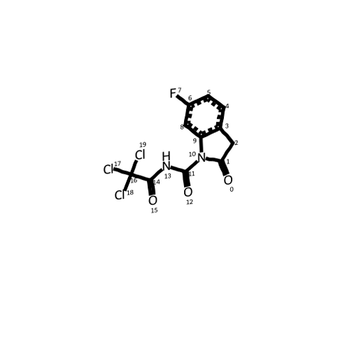 O=C1Cc2ccc(F)cc2N1C(=O)NC(=O)C(Cl)(Cl)Cl